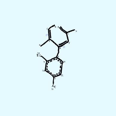 C=C(C)/C=C(\C(C)=C/C)c1ccc(C(C)=O)cc1CC